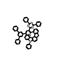 c1ccc(-c2cc(-c3ccccc3)cc(-c3cnc(-c4cccc5c4-c4c(ccc6c4c4ccccc4n6-c4ccccc4)C5)c(-c4nc(-c5ccccc5)nc(-c5ccccc5)n4)c3)c2)cc1